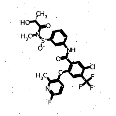 Cc1nc(F)ccc1Oc1cc(C(F)(F)F)c(Cl)cc1C(=O)Nc1cccc([S@@+]([O-])N(C)C(=O)[C@@H](C)O)c1